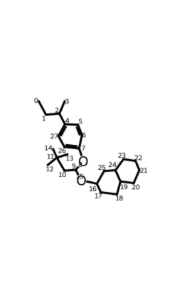 CCC(C)c1ccc(OC(CC(C)(C)C)OC2CCC3CCCCC3C2)cc1